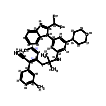 C#C/C(=C(\C=C/C)CC(C)(C)Nc1nc(N2CCOCC2)nc(-n2c(C(F)F)nc3ccccc32)n1)c1ccnc(C)c1